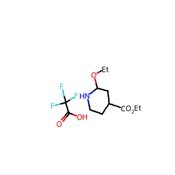 CCOC(=O)C1CCNC(OCC)C1.O=C(O)C(F)(F)F